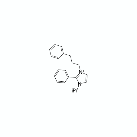 CC(C)n1cc[n+](CCCc2ccccc2)c1-c1ccccc1